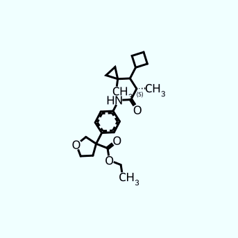 CCOC(=O)C1(c2ccc(NC(=O)[C@@H](C)C(C3CCC3)C3(C)CC3)cc2)CCOC1